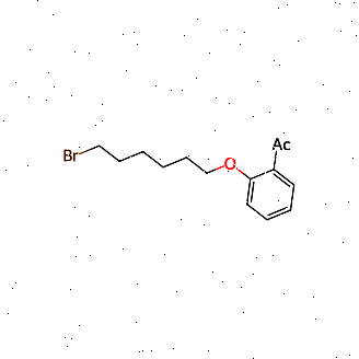 CC(=O)c1ccccc1OCCCCCCBr